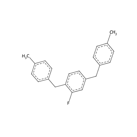 Cc1ccc(Cc2ccc(Cc3ccc(C)cc3)c(F)c2)cc1